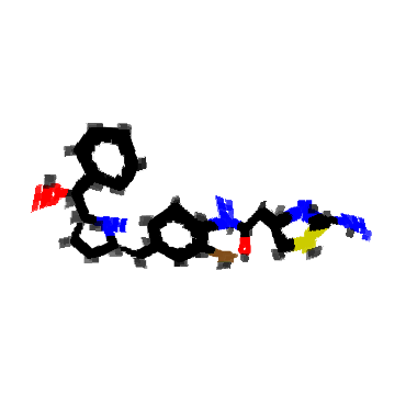 Nc1nc(CC(=O)Nc2ccc(C[C@@H]3CC[C@H]([C@H](O)c4ccccc4)N3)cc2Br)cs1